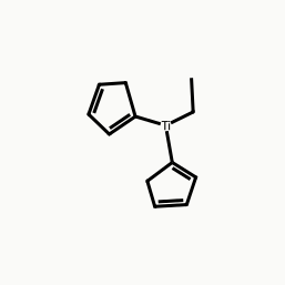 C[CH2][Ti]([C]1=CC=CC1)[C]1=CC=CC1